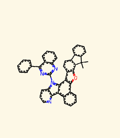 CC1(C)c2ccccc2-c2ccc3c(oc4c5ccccc5c5c6ncccc6n(-c6nc(-c7ccccc7)c7ccccc7n6)c5c34)c21